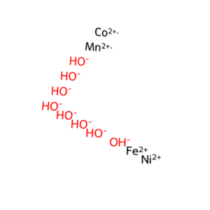 [Co+2].[Fe+2].[Mn+2].[Ni+2].[OH-].[OH-].[OH-].[OH-].[OH-].[OH-].[OH-].[OH-]